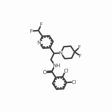 O=C(NCC(c1ccc(C(F)F)nc1)N1CCC(F)(F)CC1)c1cccc(Cl)c1Cl